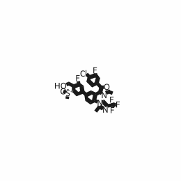 Cc1nc(-c2cc(-c3cc(F)c(CO)c([S+](C)[O-])c3)ccc2-n2cc(C(F)(F)F)nc2C)c(-c2ccc(Cl)c(F)c2)o1